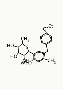 CCOc1ccc(Cc2cc(C3SC(C)C(O)C(O)C3O)c(OC)cc2C)cc1